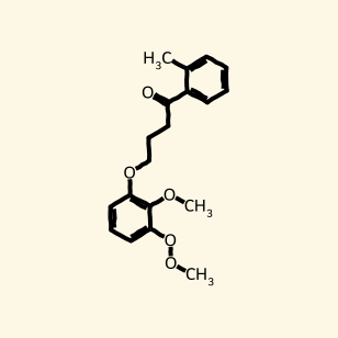 COOc1cccc(OCCCC(=O)c2ccccc2C)c1OC